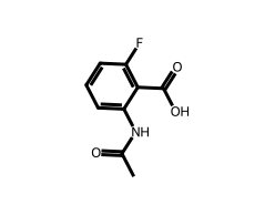 CC(=O)Nc1cccc(F)c1C(=O)O